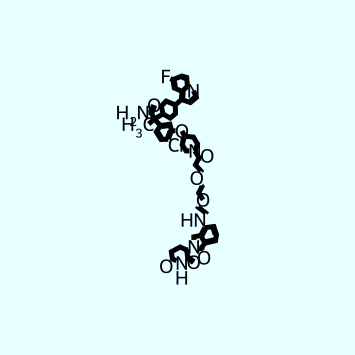 CC(C(N)=O)(c1ccc(Cl)c(OC2CCN(C(=O)CCOCCOCCNc3cccc4c3CN(C3CCC(=O)NC3=O)C4=O)CC2)c1)C1CCC(c2ccnc3ccc(F)cc23)CC1